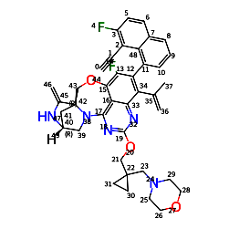 C#Cc1c(F)ccc2cccc(-c3c(F)c4c5c(nc(OCC6(CN7CCOCC7)CC6)nc5c3C(=C)C)N3C[C@H]5C[C@]3(CO4)C(=C)N5)c12